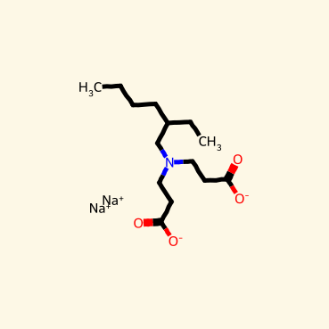 CCCCC(CC)CN(CCC(=O)[O-])CCC(=O)[O-].[Na+].[Na+]